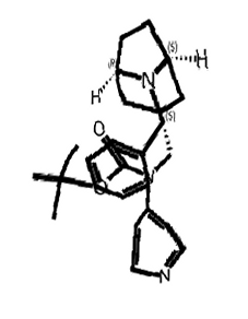 CC(C)(C)OC(=O)N(C[C@@H]1C[C@H]2CC[C@@H](C1)N2Cc1ccccc1)c1ccncc1